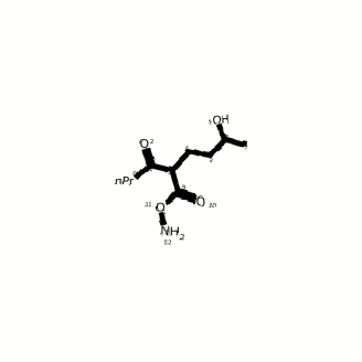 CCCC(=O)C(CCC(C)O)C(=O)ON